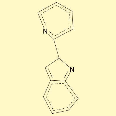 C1=c2ccccc2=NC1c1ccccn1